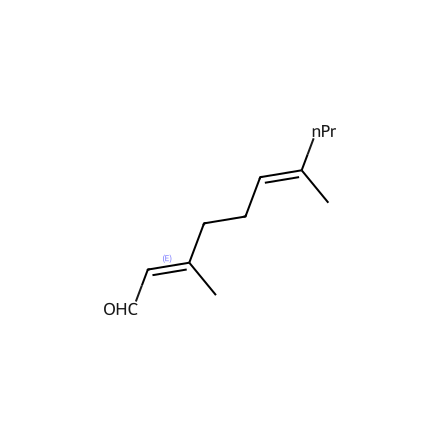 CCCC(C)=CCC/C(C)=C/C=O